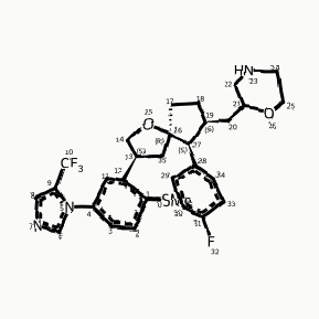 CSc1ccc(-n2cncc2C(F)(F)F)cc1[C@H]1CO[C@]2(CC[C@@H](CC3CNCCO3)[C@H]2c2ccc(F)cc2)C1